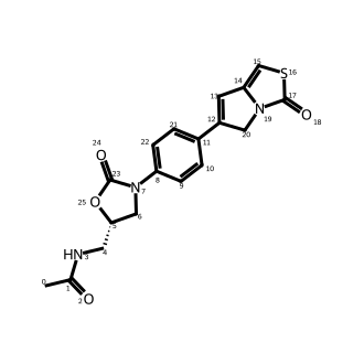 CC(=O)NC[C@H]1CN(c2ccc(C3=Cc4csc(=O)n4C3)cc2)C(=O)O1